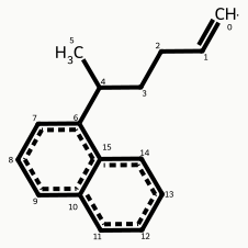 [CH]=CCCC(C)c1cccc2ccccc12